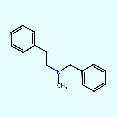 CN(C[CH]c1ccccc1)Cc1ccccc1